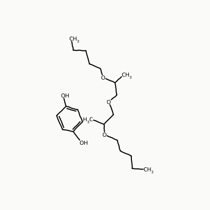 CCCCCOC(C)COCC(C)OCCCCC.Oc1ccc(O)cc1